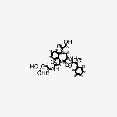 O=C[C@H](CC(=O)O)NC(=O)CN1C(=O)[C@@H](NC(=O)C(=O)c2ccccc2)CN(C(=O)CO)c2ccccc21